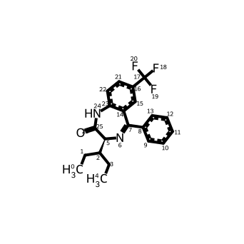 CCC(CC)[C@@H]1N=C(c2ccccc2)c2cc(C(F)(F)F)ccc2NC1=O